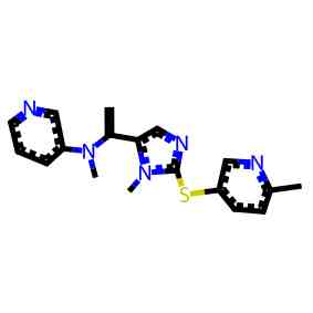 C=C(c1cnc(Sc2ccc(C)nc2)n1C)N(C)c1cccnc1